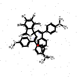 COc1ccc(/C(=C\C2(/C=C(\c3ccc(OC)cc3)c3ccc(N(C)C)cc3)OC(=O)c3c(Br)c(Br)c(Br)c(Br)c32)c2ccc(N(C)C)cc2)cc1